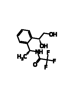 C[C@H](NC(=O)C(F)(F)F)c1ccccc1[C@@H](O)CO